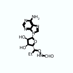 CCC(ONC=O)[C@H]1O[C@@H](n2cnc3c(N)ncnc32)[C@H](O)[C@@H]1O